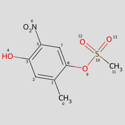 Cc1cc(O)c([N+](=O)[O-])cc1OS(C)(=O)=O